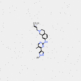 Cc1cnc(Nc2ccc3c(c2)CN(C/C=C/C(=O)O)CC3)nc1-c1cnn(C(C)C)c1